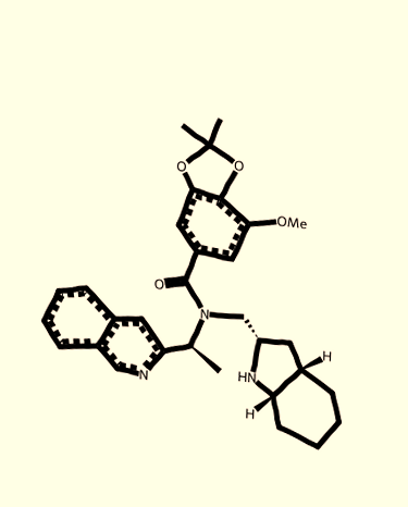 COc1cc(C(=O)N(C[C@@H]2C[C@@H]3CCCC[C@@H]3N2)[C@@H](C)c2cc3ccccc3cn2)cc2c1OC(C)(C)O2